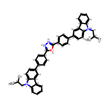 CCCCC(CC)Cn1c2ccccc2c2cc(-c3ccc(-c4nnc(-c5ccc(-c6ccc7c(c6)c6ccccc6n7CC(CC)CCCC)cc5)o4)cc3)ccc21